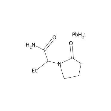 CCC(C(N)=O)N1CCCC1=O.[PbH2]